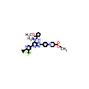 CCOC(=O)C1CCN(c2ccc(-c3nc4nc(-c5cnc(C6CC6)c(C(F)(F)F)c5)cc(N(C)CC5(COC)CCCC5)c4[nH]3)cc2)CC1